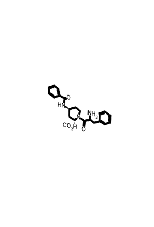 NC(Cc1ccccc1)C(=O)N1CC[C@H](NC(=O)c2ccccc2)C[C@H]1C(=O)O